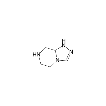 C1=NNC2CNCCN12